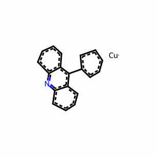 [Cu].c1ccc(-c2c3ccccc3nc3ccccc23)cc1